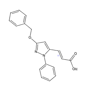 O=C(O)/C=C/c1cc(OCc2ccccc2)nn1-c1ccccc1